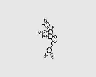 COc1c(N2CCNC(C)C2)c(F)cc2c(=O)c(C(=O)C=Cc3ccc(=C=O)c(=C=O)c3)cn(C3CC3)c12